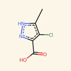 Cc1[nH]nc(C(=O)O)c1Cl